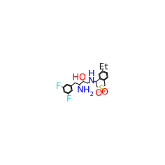 CCc1ccc2c(c1)C(NCC(O)C(N)Cc1cc(F)cc(F)c1)CS(=O)(=O)C2